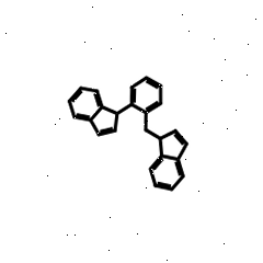 C1=CC(Cc2ccccc2C2C=Cc3ccccc32)c2ccccc21